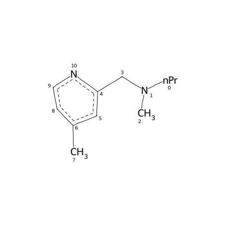 CCCN(C)Cc1cc(C)ccn1